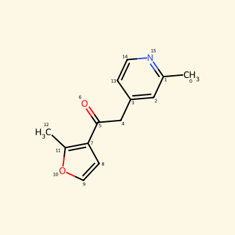 Cc1cc(CC(=O)c2ccoc2C)ccn1